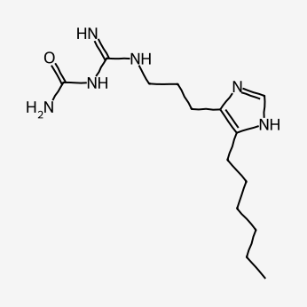 CCCCCCc1[nH]cnc1CCCNC(=N)NC(N)=O